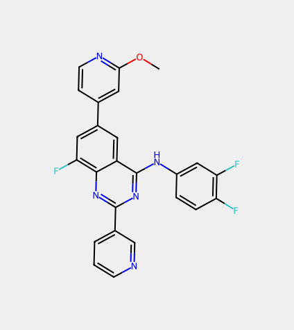 COc1cc(-c2cc(F)c3nc(-c4cccnc4)nc(Nc4ccc(F)c(F)c4)c3c2)ccn1